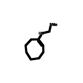 CNCN/C1=C/CCCCCC1